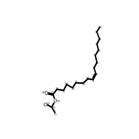 CCCCCCCC/C=C\CCCCCCCC(=O)OC(C)Cl